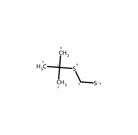 CC(C)(C)SC[S]